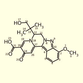 COc1cccc2c3n(nc12)CC(C(C)(C)CO)n1cc(C(=O)O)c(=O)cc1-3